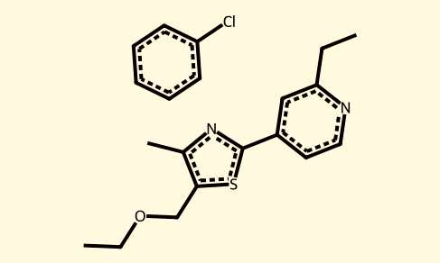 CCOCc1sc(-c2ccnc(CC)c2)nc1C.Clc1ccccc1